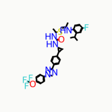 C/C(=C/SC(C)NC(=O)NC1CC1c1ccc(-c2ncn(-c3ccc(OC(F)(F)F)cc3)n2)cc1)Nc1ccc(F)cc1C(C)C